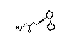 COC(=O)CCC#Cc1ccccc1-c1ccccc1